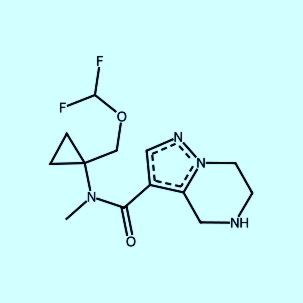 CN(C(=O)c1cnn2c1CNCC2)C1(COC(F)F)CC1